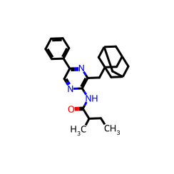 CCC(C)C(=O)Nc1ncc(-c2ccccc2)nc1CC12CC3CC(CC(C3)C1)C2